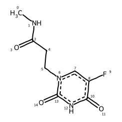 CNC(=O)CCn1cc(F)c(=O)[nH]c1=O